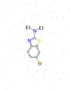 CCN(CC)c1nc2ccc(Br)cc2s1